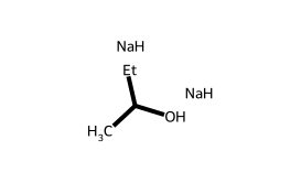 CCC(C)O.[NaH].[NaH]